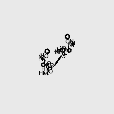 CNC(C)C(=O)NC(C(=O)N1CCCC1Cn1nnnc1Oc1ccccc1)C(C)OCC#CC#CCOC(C)C(NC(=O)C(C)NC)C(=O)N1CCCC1Cn1nnnc1Oc1ccccc1